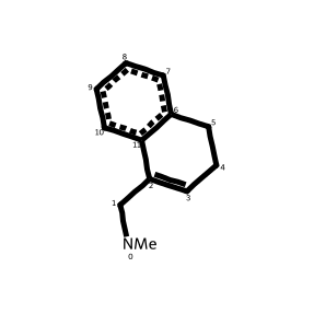 CNCC1=CCCc2ccccc21